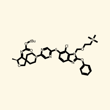 C[C@@H]1OCC2(CCN(c3cnc(Sc4ccc5nc(Oc6ccccc6)n(COCC[Si](C)(C)C)c5c4Cl)cn3)CC2)/C1=N\C(=O)OC(C)(C)C